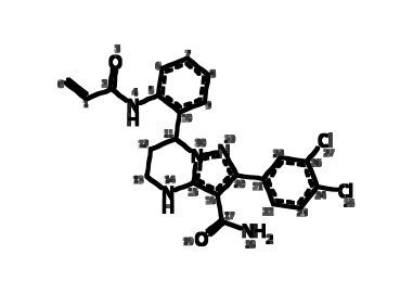 C=CC(=O)Nc1ccccc1C1CCNc2c(C(N)=O)c(-c3ccc(Cl)c(Cl)c3)nn21